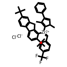 CC1=[C](/[Zr+2](=[CH]/c2ccc(C(F)(F)F)cc2)[c]2c(C(C)(C)C)ccc3c2Cc2cc(C(C)(C)C)ccc2-3)C(C)C=C1c1ccccc1.[Cl-].[Cl-]